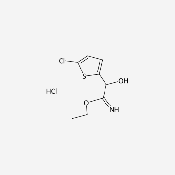 CCOC(=N)C(O)c1ccc(Cl)s1.Cl